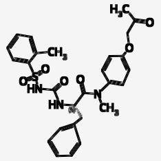 CC(=O)COc1ccc(N(C)C(=O)[C@H](Cc2ccccc2)NC(=O)NS(=O)(=O)c2ccccc2C)cc1